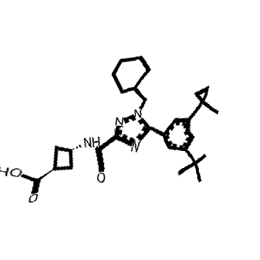 CC(C)(C)c1cc(-c2nc(C(=O)N[C@H]3C[C@H](C(=O)O)C3)nn2CC2CCCCC2)cc(C2(C)CC2)c1